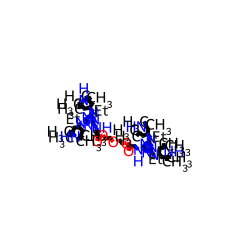 CCN(c1nc(NCC(=O)OCCOCCOC(=O)CNc2nc(N(CC)C3CC(C)(C)NC(C)(C)C3)nc(N(CC)C3CC(C)(C)NC(C)(C)C3)n2)nc(N(CC)C2CC(C)(C)NC(C)(C)C2)n1)C1CC(C)(C)NC(C)(C)C1